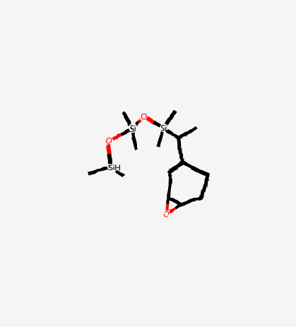 CC(C1CCC2OC2C1)[Si](C)(C)O[Si](C)(C)O[SiH](C)C